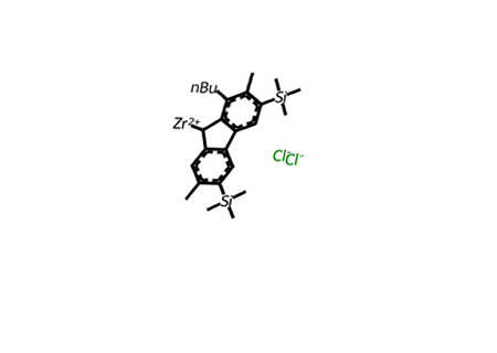 CCCCc1c(C)c([Si](C)(C)C)cc2c1[CH]([Zr+2])c1cc(C)c([Si](C)(C)C)cc1-2.[Cl-].[Cl-]